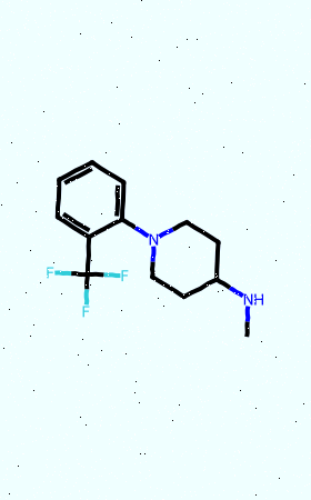 CNC1CCN(c2ccccc2C(F)(F)F)CC1